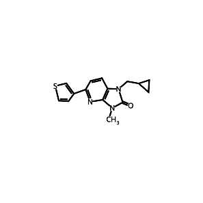 Cn1c(=O)n(CC2CC2)c2ccc(-c3ccsc3)nc21